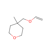 C=COCC1(C)CCOCC1